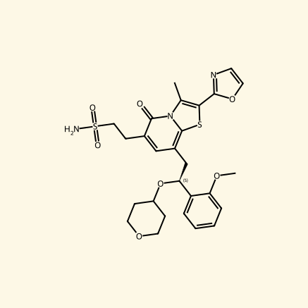 COc1ccccc1[C@H](Cc1cc(CCS(N)(=O)=O)c(=O)n2c(C)c(-c3ncco3)sc12)OC1CCOCC1